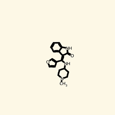 CN1CCC(N/C(=C2\C(=O)Nc3ccccc32)c2ccoc2)CC1